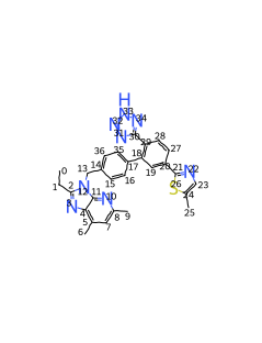 CCc1nc2c(C)cc(C)nc2n1Cc1ccc(-c2cc(-c3ncc(C)s3)ccc2-c2nn[nH]n2)cc1